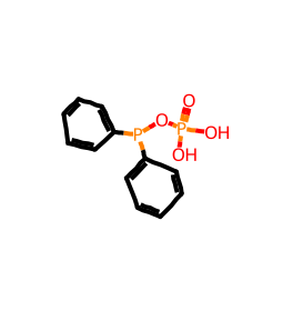 O=P(O)(O)OP(c1ccccc1)c1ccccc1